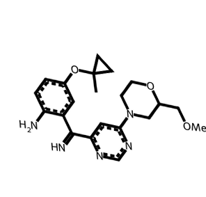 COCC1CN(c2cc(C(=N)c3cc(OC4(C)CC4)ccc3N)ncn2)CCO1